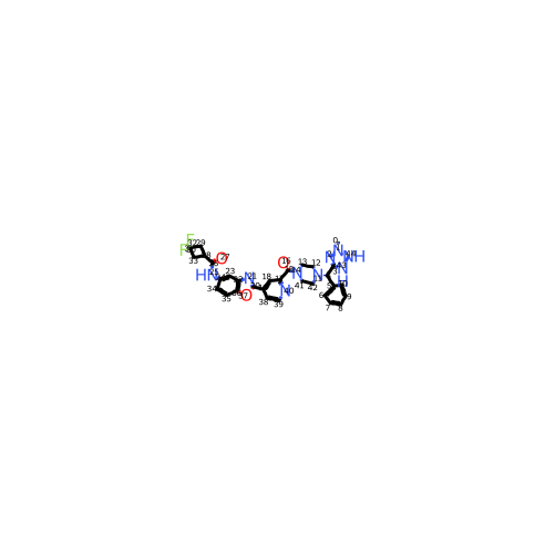 CN1N=C([C@H](c2ccccc2)N2CCN(C(=O)c3cc(-c4nc5cc(NC(=O)C6CC(F)(F)C6)ccc5o4)ccn3)CC2)NN1